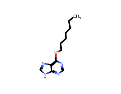 CCCCCCCOc1ncnc2[nH]cnc12